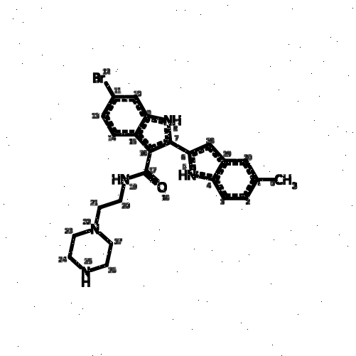 Cc1ccc2[nH]c(-c3[nH]c4cc(Br)ccc4c3C(=O)NCCN3CCNCC3)cc2c1